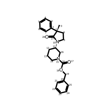 C[C@@]1(c2ccccc2)CCN([C@H]2CCCN(C(=O)OCc3ccccc3)C2)C1=O